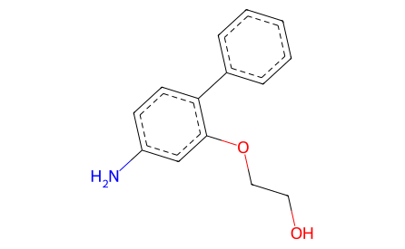 Nc1ccc(-c2ccccc2)c(OCCO)c1